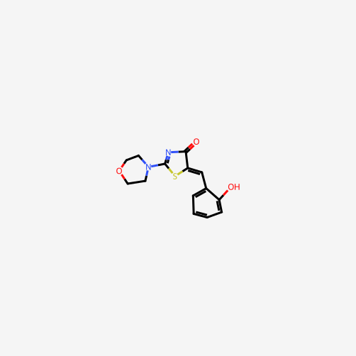 O=C1N=C(N2CCOCC2)S/C1=C\c1ccccc1O